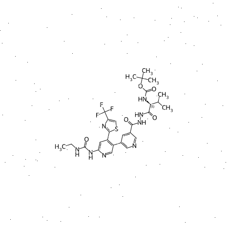 CCNC(=O)Nc1cc(-c2nc(C(F)(F)F)cs2)c(-c2cncc(C(=O)NNC(=O)[C@@H](NC(=O)OC(C)(C)C)C(C)C)c2)cn1